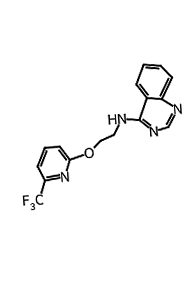 FC(F)(F)c1cccc(OCCNc2ncnc3ccccc23)n1